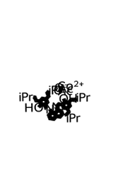 CC(=O)[O-].CC(=O)[O-].CC(C)CCc1cc(C=Nc2cccc3cccc(N=Cc4cc(CCC(C)C)cc(CCC(C)C)c4O)c23)c(O)c(CCC(C)C)c1.[Co+2]